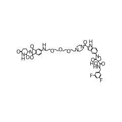 O=C1CCC(N2C(=O)c3ccc(NCCOCCOCCOCCN4CCN(C(=O)c5cc6cc(N7CC[C@](O)(C(=O)NCc8cc(F)cc(F)c8)C7=O)ccc6[nH]5)CC4)cc3C2=O)C(=O)N1